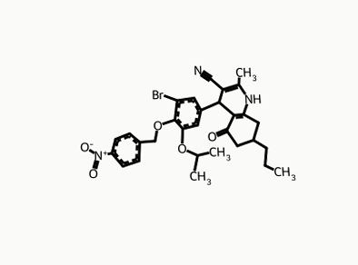 CCCC1CC(=O)C2=C(C1)NC(C)=C(C#N)C2c1cc(Br)c(OCc2ccc([N+](=O)[O-])cc2)c(OC(C)C)c1